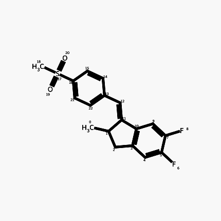 CC1Cc2cc(F)c(F)cc2/C1=C/c1ccc(S(C)(=O)=O)cc1